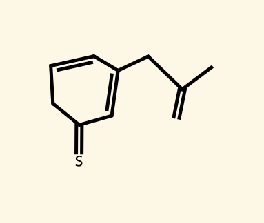 C=C(C)CC1=CC(=S)CC=C1